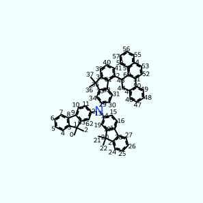 CC1(C)c2ccccc2-c2ccc(N(c3ccc4c(c3)C(C)(C)c3ccccc3-4)c3ccc4c(c3)C(C)(C)c3cccc(C5Cc6ccccc6-c6ccc7ccccc7c65)c3-4)cc21